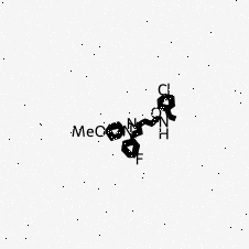 COc1ccc(-n2nc(CCC(=O)NC(C)c3ccc(Cl)cc3)cc2-c2cccc(F)c2)cc1